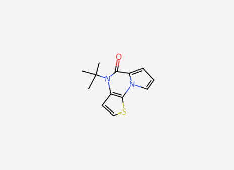 CC(C)(C)n1c(=O)c2cccn2c2sccc21